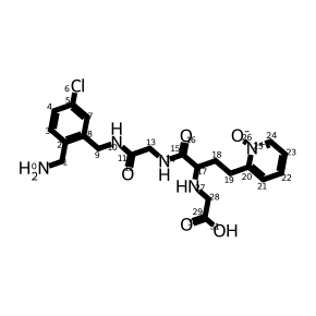 NCc1ccc(Cl)cc1CNC(=O)CNC(=O)C(CCc1cccc[n+]1[O-])NCC(=O)O